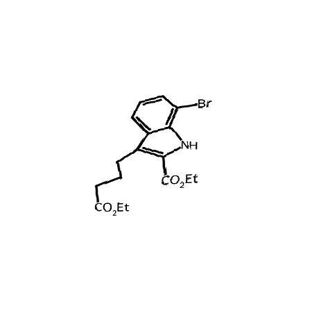 CCOC(=O)CCCc1c(C(=O)OCC)[nH]c2c(Br)cccc12